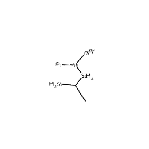 CCCN([SiH2]C(C)[SiH3])C(C)C